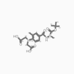 Cc1cc(C(=O)NN(C)C(=O)OC(C)(C)C)ccc1N(CC(=O)O)CC(=O)O